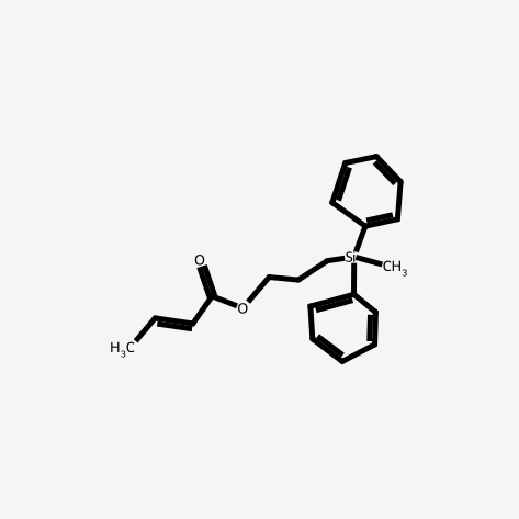 CC=CC(=O)OCCC[Si](C)(c1ccccc1)c1ccccc1